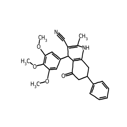 COc1cc(C2C(C#N)=C(C)NC3=C2C(=O)CC(c2ccccc2)C3)cc(OC)c1OC